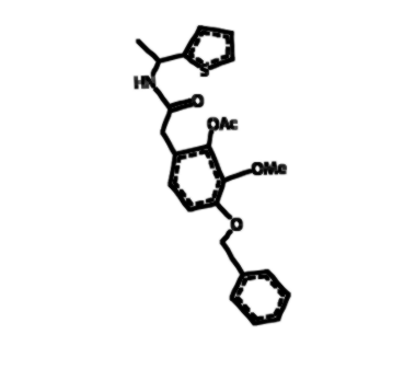 COc1c(OCc2ccccc2)ccc(CC(=O)NC(C)c2cccs2)c1OC(C)=O